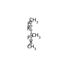 CCCCSc1ccc(-c2cc(C)c(C#Cc3ccc(-c4ccc(-c5ccc(C)cc5F)cc4F)c(F)c3)cc2F)cc1